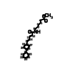 COC(=O)CCCCCNC(=O)/C=C/C=C/c1ccc(-c2ccccc2)cc1